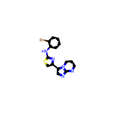 Brc1ccccc1Nc1nc(-c2cnc3ncccn23)cs1